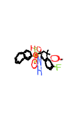 COc1c(F)ccc2c1C(C)(C)C[C@@](O)(C(F)(F)F)[C@@H]2NS(=O)(=O)c1ccc2ccccc2c1